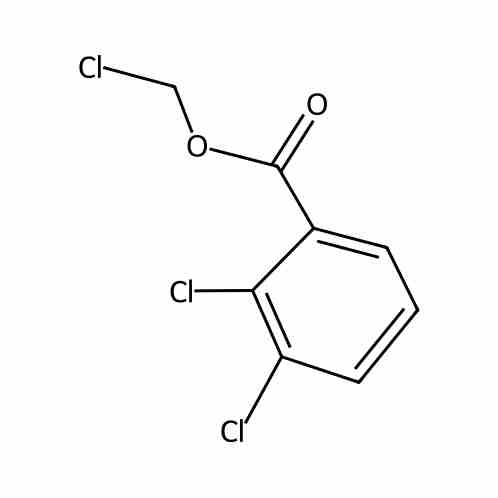 O=C(OCCl)c1cccc(Cl)c1Cl